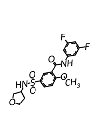 COc1ccc(S(=O)(=O)NC2CCOC2)cc1C(=O)Nc1cc(F)cc(F)c1